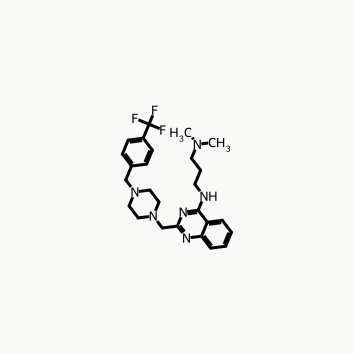 CN(C)CCCNc1nc(CN2CCN(Cc3ccc(C(F)(F)F)cc3)CC2)nc2ccccc12